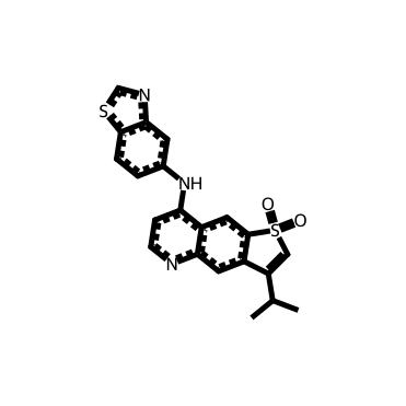 CC(C)C1=CS(=O)(=O)c2cc3c(Nc4ccc5scnc5c4)ccnc3cc21